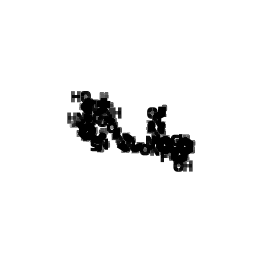 C=CC(=O)N1CCN(c2nc(OCCN3CCN(CCOCC(=O)N[C@H](C(=O)N4C[C@H](O)C[C@H]4C(=O)N[C@@H](C)c4ccc(-c5scnc5C)cc4)C(C)(C)C)CC3)nc3c(F)c(-c4cc(O)cc5ccccc45)c(Cl)cc23)CC1